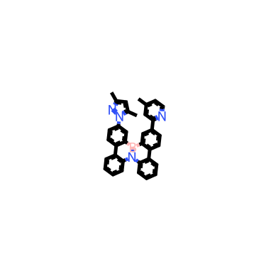 Cc1ccnc(-c2ccc3c(c2)B2c4cc(-n5nc(C)cc5C)ccc4-c4ccccc4N2c2ccccc2-3)c1